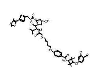 Cc1ncsc1-c1ccc(CNC(=O)[C@@H]2C[C@@H](O)CN2C(=O)C(NC(=O)COCCCCCNc2ccc(C(=O)N[C@H]3C(C)(C)[C@H](Oc4ccc(C#N)c(Cl)c4)C3(C)C)cc2)C(C)C)nc1